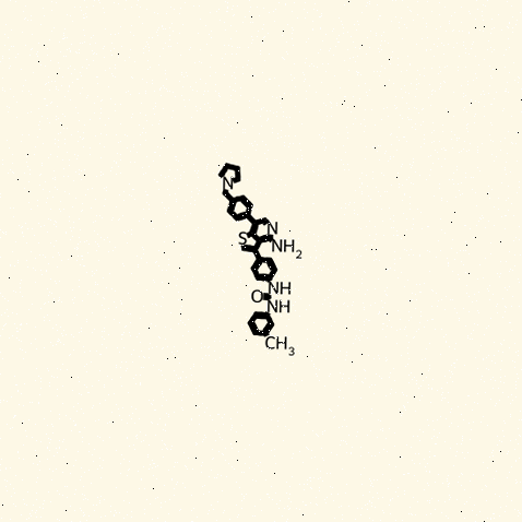 Cc1cccc(NC(=O)Nc2ccc(-c3csc4c(-c5ccc(CN6CCCC6)cc5)cnc(N)c34)cc2)c1